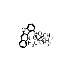 CC1(C)OB(c2cccc3oc4cc5ccccc5nc4c23)OC1(C)C